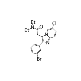 CCN(CC)C(=O)Cc1c(-c2cccc(Br)c2)nc2ccc(Cl)cn12